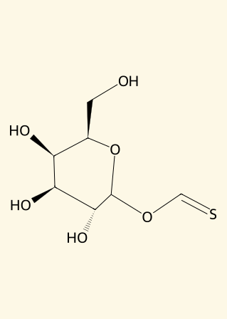 OC[C@H]1OC(OC=S)[C@H](O)[C@@H](O)[C@H]1O